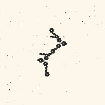 CCCCCCC(C)(C=Cc1ccc(C=Cc2ccc(N(c3ccc(C)cc3)c3ccc(C(C)(C=CC=Cc4ccccc4)CCCCC)cc3)cc2)cc1)c1ccc(N(c2ccc(C)cc2)c2ccc(C=CC=Cc3ccccc3)cc2)cc1